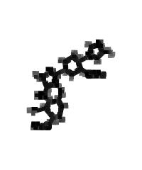 COc1cc(-c2nc(Nc3c(F)ccc(OC)c3F)n(C)n2)ccc1-n1cnc(C)c1